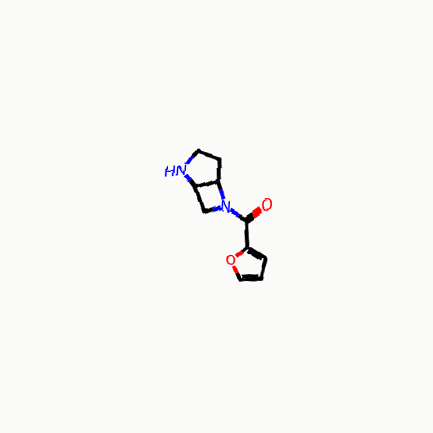 O=C(c1ccco1)N1CC2NCCC21